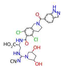 [C-]#[N+]/N=C(\NC[C@H](NC(=O)c1c(Cl)cc2c(c1Cl)CCN(C(=O)c1ccc3cn[nH]c3c1)C2)C(=O)O)N1C[C@H](O)C[C@H](O)C1